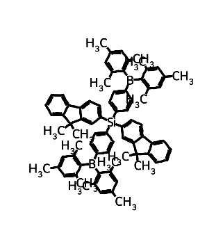 Cc1cc(C)c(B(c2ccc([Si](c3ccc(B(c4c(C)cc(C)cc4C)c4c(C)cc(C)cc4C)cc3)(c3ccc4c(c3)C(C)(C)c3ccccc3-4)c3ccc4c(c3)C(C)(C)c3ccccc3-4)cc2)c2c(C)cc(C)cc2C)c(C)c1